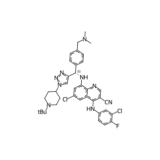 CN(C)Cc1ccc([C@H](Nc2cc(Cl)cc3c(Nc4ccc(F)c(Cl)c4)c(C#N)cnc23)c2cn(C3CCN(C(C)(C)C)CC3)nn2)cc1